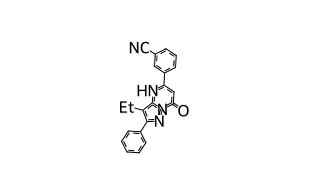 CCc1c(-c2ccccc2)nn2c(=O)cc(-c3cccc(C#N)c3)[nH]c12